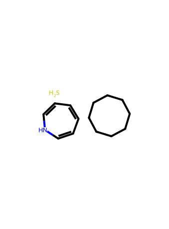 C1=CC=CNC=C1.C1CCCCCCC1.S